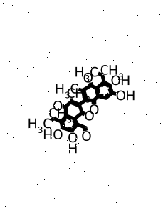 CC1=C(C2=C(C)C(=O)c3c(c(C=O)c(O)c(O)c3C(C)C)C2=O)C(=O)c2cc(O)c(O)c(C(C)C)c2C1=O